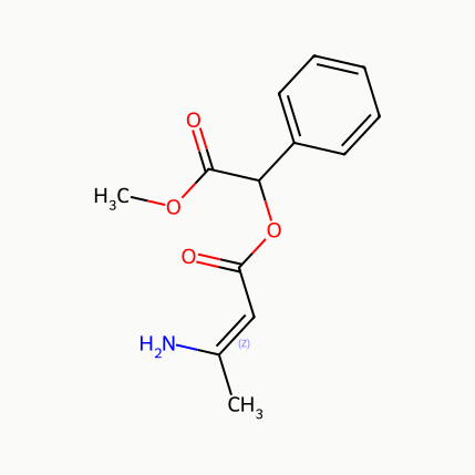 COC(=O)C(OC(=O)/C=C(/C)N)c1ccccc1